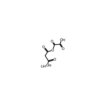 O=C(O)CC(=O)OC(=O)C(=O)O.[LiH]